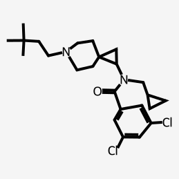 CC(C)(C)CCN1CCC2(CC1)CC2N(CC1CC1)C(=O)c1cc(Cl)cc(Cl)c1